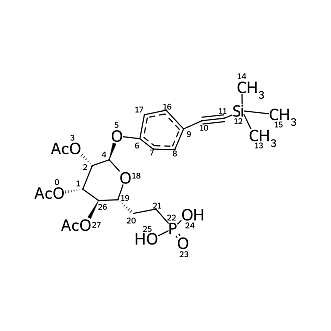 CC(=O)O[C@@H]1[C@H](OC(C)=O)[C@@H](Oc2ccc(C#C[Si](C)(C)C)cc2)O[C@H](CCP(=O)(O)O)[C@H]1OC(C)=O